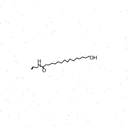 C=CCNC(=O)CCCCCCCCCCCCCCCO